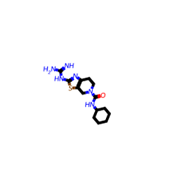 N=C(N)Nc1nc2c(s1)CN(C(=O)NC1CCCCC1)CC2